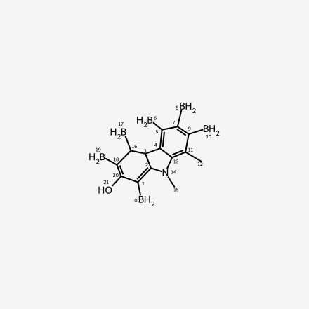 BC1=C2C(c3c(B)c(B)c(B)c(C)c3N2C)C(B)C(B)=C1O